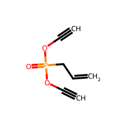 C#COP(=O)(CC=C)OC#C